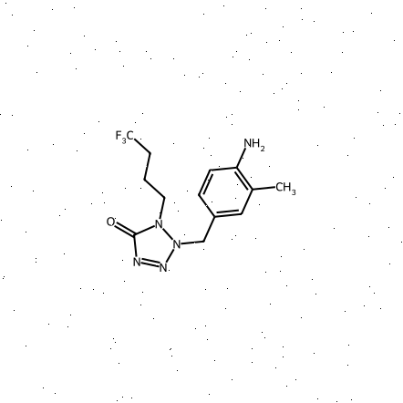 Cc1cc(Cn2nnc(=O)n2CCCC(F)(F)F)ccc1N